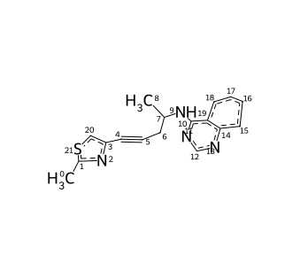 Cc1nc(C#CCC(C)Nc2ncnc3ccccc23)cs1